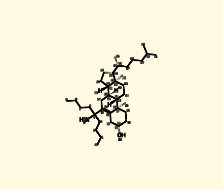 CCCCC(N)(CCCC)C1=C2C[C@@H](O)CC[C@]2(C)[C@H]2CC[C@]3(C)[C@@H]([C@H](C)CCCC(C)C)CC[C@H]3[C@@H]2C1